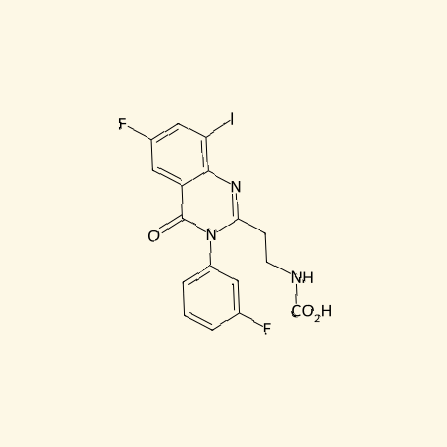 O=C(O)NCCc1nc2c(I)cc(F)cc2c(=O)n1-c1cccc(F)c1